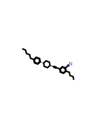 CCCCCc1ccc([C@H]2CC[C@H](C#Cc3ccc(CCCC)c(C#N)c3)CC2)cc1